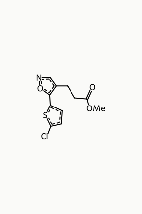 COC(=O)CCc1cnoc1-c1ccc(Cl)s1